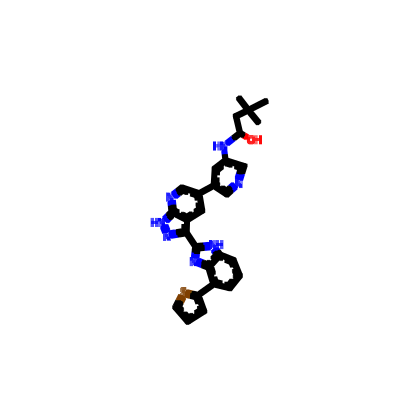 CC(C)(C)CC(O)Nc1cncc(-c2cnc3[nH]nc(-c4nc5c(-c6cccs6)cccc5[nH]4)c3c2)c1